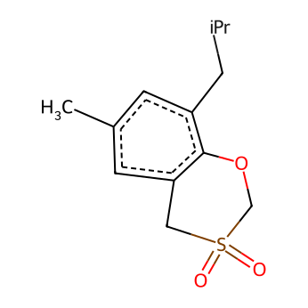 Cc1cc(CC(C)C)c2c(c1)CS(=O)(=O)CO2